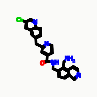 NCc1c(CNC(=O)c2ccnc(Cc3ccc4ncc(Cl)cc4c3)c2)ccc2cnccc12